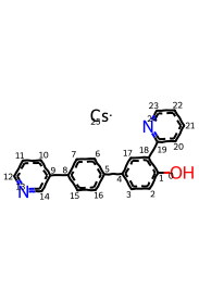 Oc1ccc(-c2ccc(-c3cccnc3)cc2)cc1-c1ccccn1.[Cs]